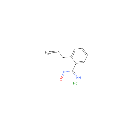 C=CCc1ccccc1C(=N)N=O.Cl